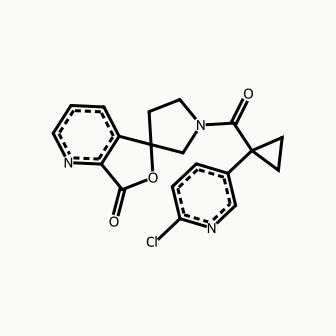 O=C1OC2(CCN(C(=O)C3(c4ccc(Cl)nc4)CC3)C2)c2cccnc21